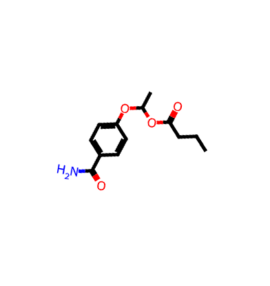 CCCC(=O)OC(C)Oc1ccc(C(N)=O)cc1